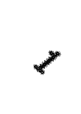 c1ccc(CN(Cc2ccccc2)c2ccc(N=Nc3ccc(/N=N/c4ccc(N=Nc5ccc(N(Cc6ccccc6)Cc6ccccc6)cc5)cc4)cc3)cc2)cc1